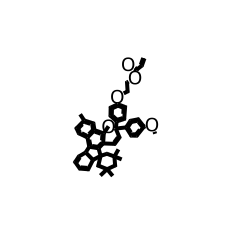 C=CC(=O)OCCOc1ccc(C2(c3ccc(OC)cc3)C=Cc3c4c(c5ccc(C)cc5c3O2)C2C=CC=CC2C42CC(C)(C)CC(C)(C)C2)cc1